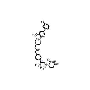 N/C(=C\N(N)C1CCC(=O)NC1=O)c1ccc(CNCC2CCN(c3ncc(-c4cccc(Cl)c4)cc3C(F)(F)F)CC2)cc1